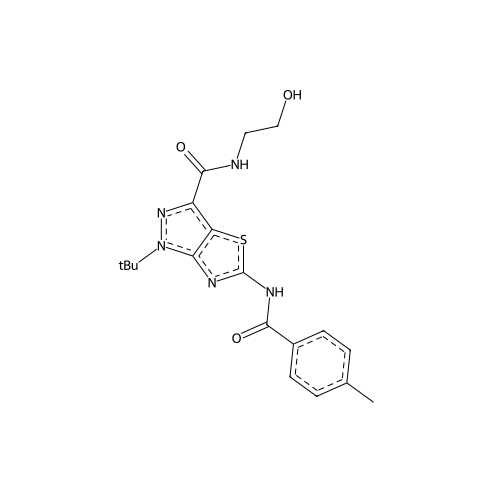 Cc1ccc(C(=O)Nc2nc3c(s2)c(C(=O)NCCO)nn3C(C)(C)C)cc1